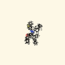 CCC1C(c2cccc(-c3ccccc3)c2)=NC(c2cc(C[C@H]3c4cc5ccccc5cc4-c4ccccc4C3C)c3c(c2)oc2cc4ccccc4cc23)=NC1c1ccc2sc3ccccc3c2c1